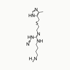 Cc1nc[nH]c1CSCC/N=C(\NC#N)NCCCCN